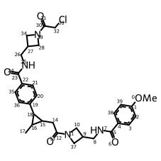 COc1ccc(C(=O)NCC2CN(C(=O)CC3C(C)C3c3ccc(C(=O)NCC4CN(C(=O)CCl)C4)cc3)C2)cc1